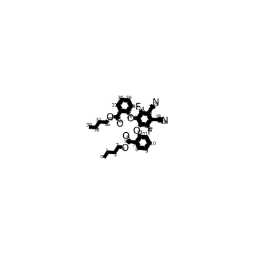 CCCCOC(=O)c1ccccc1Oc1c(F)c(C#N)c(C#N)c(F)c1Oc1ccccc1C(=O)OCCCC